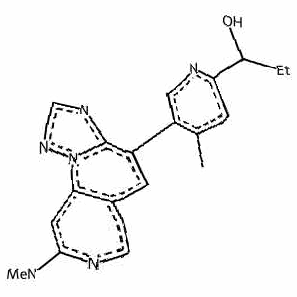 CCC(O)c1cc(C)c(-c2cc3cnc(NC)cc3n3ncnc23)cn1